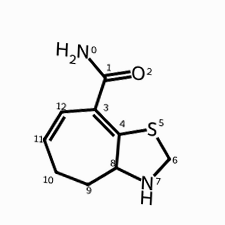 NC(=O)C1=C2SCNC2CCC=C1